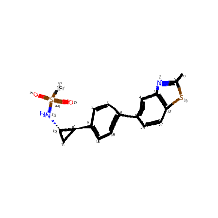 Cc1nc2cc(-c3ccc([C@H]4C[C@@H]4NS(=O)(=O)C(C)C)cc3)ccc2s1